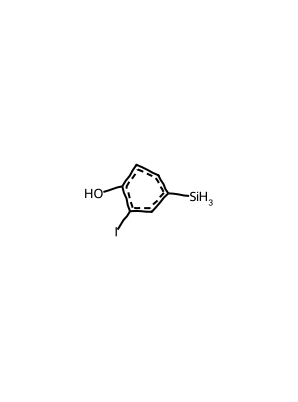 Oc1ccc([SiH3])cc1I